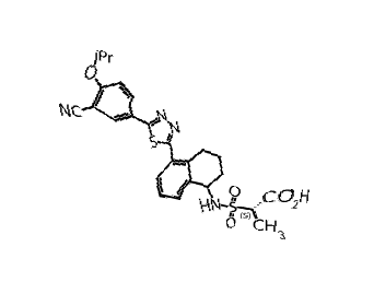 CC(C)Oc1ccc(-c2nnc(-c3cccc4c3CCCC4NS(=O)(=O)[C@@H](C)C(=O)O)s2)cc1C#N